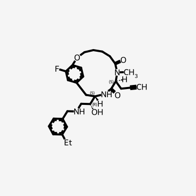 C#CC[C@H]1C(=O)N[C@H]([C@H](O)CNCc2cccc(CC)c2)Cc2ccc(c(F)c2)OCCCCC(=O)N1C